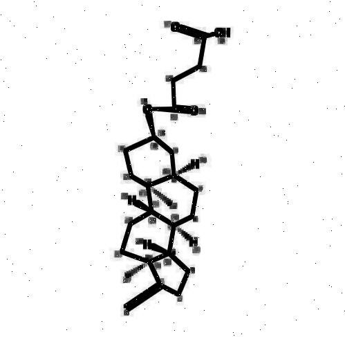 C=C1CC[C@H]2[C@@H]3CC[C@@H]4C[C@H](OC(=O)CCC(=O)O)CC[C@]4(C)[C@H]3CC[C@]12C